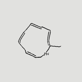 Cc1ccccccc[pH]1